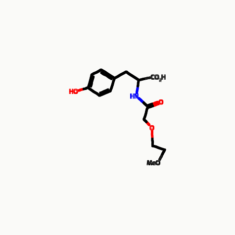 COCCOCC(=O)NC(Cc1ccc(O)cc1)C(=O)O